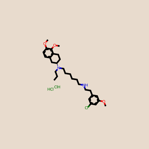 CCCN(CCCCCCNCCc1cc(Cl)cc(OC)c1)[C@H]1CCc2c(ccc(OC)c2OC)C1.Cl.Cl